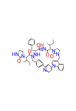 CCC(C)C(C(=O)N(Cc1ccc(-c2ccccn2)cc1)NC(Cc1ccccc1)C(O)CNC(=O)C(C(C)CC)N1CCN(Cc2ccnc3ccccc23)C1=O)N1CCNC1=O